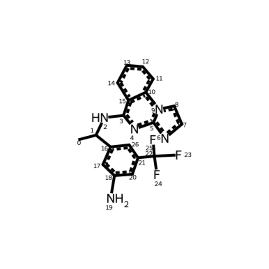 CC(Nc1nc2nccn2c2ccccc12)c1cc(N)cc(C(F)(F)F)c1